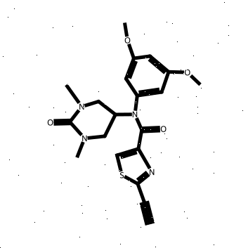 C#Cc1nc(C(=O)N(c2cc(OC)cc(OC)c2)C2CN(C)C(=O)N(C)C2)cs1